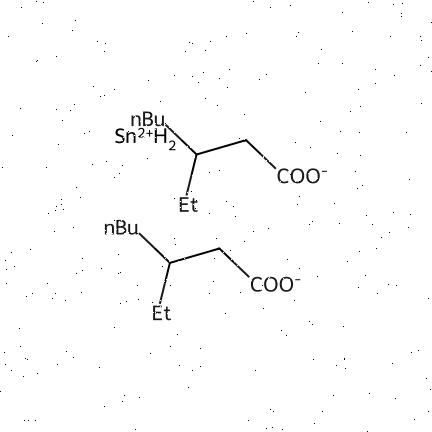 CCCCC(CC)CC(=O)[O-].CCCCC(CC)CC(=O)[O-].[SnH2+2]